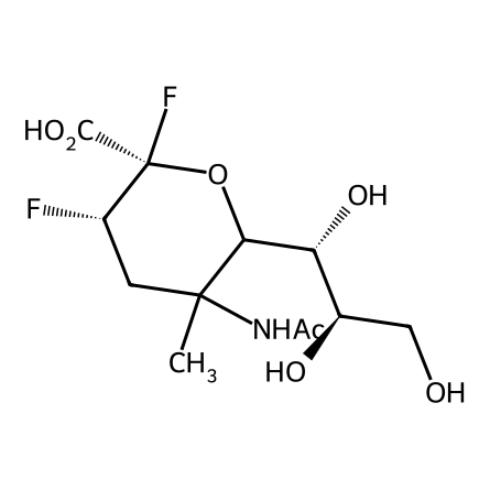 CC(=O)NC1(C)C[C@H](F)[C@](F)(C(=O)O)OC1[C@H](O)[C@H](O)CO